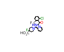 O=C(c1c(Cl)cccc1C(F)(F)F)C1NC(N2CCC(F)(C(=O)O)CC2)=C2C=CC=CN21